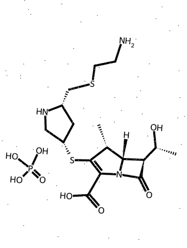 C[C@@H](O)[C@H]1C(=O)N2C(C(=O)O)=C(S[C@@H]3CN[C@H](CSCCN)C3)[C@H](C)[C@H]12.O=P(O)(O)O